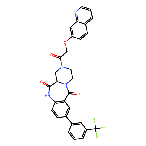 O=C1Nc2ccc(-c3cccc(C(F)(F)F)c3)cc2C(=O)N2CCN(C(=O)COc3ccc4cccnc4c3)CC12